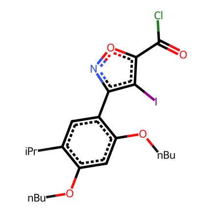 CCCCOc1cc(OCCCC)c(C(C)C)cc1-c1noc(C(=O)Cl)c1I